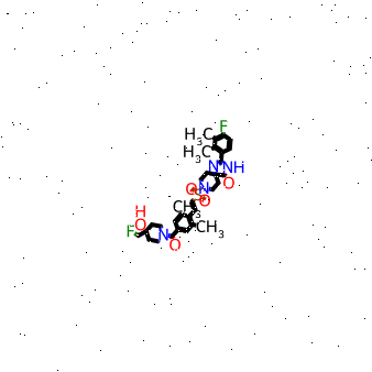 Cc1cc(C(=O)N2CCC(O)(CF)CC2)cc(C)c1C=CS(=O)(=O)N1CCC2(CC1)N=C(c1ccc(F)c(C)c1C)NC2=O